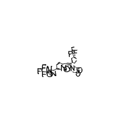 O=C([C@H](Cc1ccc(-c2noc(C(F)(F)F)n2)cn1)c1cccc(C(F)(F)F)c1)N1CCS(=O)(=O)CC1